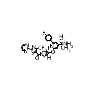 CC(C)(N)c1cc(OC2[C@H]3CN(C(=O)c4sc(-c5ncccn5)nc4C(F)(F)F)C[C@@H]23)nc(-c2ccc(F)cc2)c1